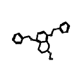 CC(C)(C)OC1CCc2c(OCc3ccccc3)ccc(OCc3ccccc3)c2C1